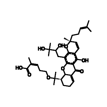 CC(C)=CCC[C@@]1(C)C=Cc2c(O)c3c(c(CC(O)C(C)(C)O)c2O1)OC1C(=CCC[C@@H]1C(C)(C)OCC/C=C(/C)C(=O)O)C3=O